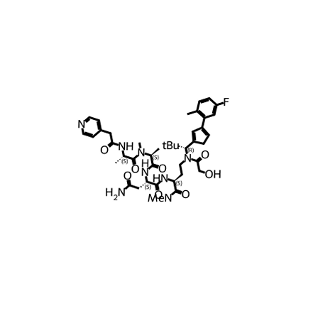 CNC(=O)[C@H](CCN(C(=O)CO)[C@@H](C1=CC(c2cc(F)ccc2C)=CC1)C(C)(C)C)NC(=O)[C@H](CC(N)=O)NC(=O)[C@H](C)N(C)C(=O)[C@H](C)NC(=O)Cc1ccncc1